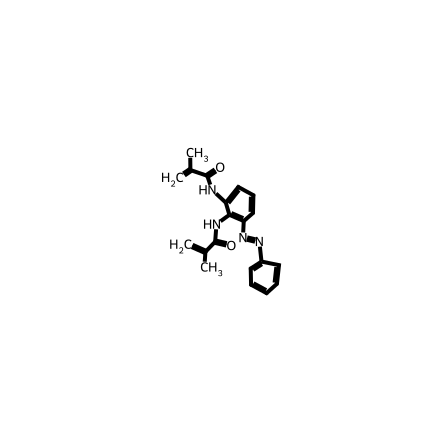 C=C(C)C(=O)Nc1cccc(N=Nc2ccccc2)c1NC(=O)C(=C)C